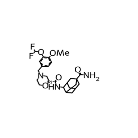 COc1ccc(CN2CCO[C@@H](C(=O)NC3C4CC5CC3CC(C(N)=O)(C5)C4)C2)cc1OC(F)F